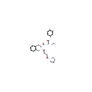 Cc1cc(NC(=O)[C@H](CCN)NC(=O)[C@@H]2Cc3ccccc3CN2C(=O)CCC(=O)N2CCC(O)C2)ccc1Cl